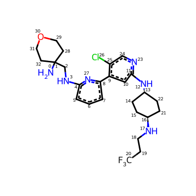 NC1(CNc2cccc(-c3cc(N[C@H]4CC[C@H](NCCC(F)(F)F)CC4)ncc3Cl)n2)CCOCC1